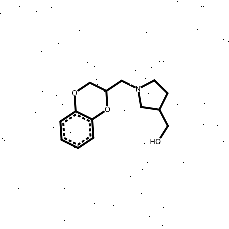 OCC1CCN(CC2COc3ccccc3O2)C1